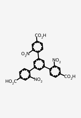 O=C(O)c1ccc(-c2cc(-c3ccc(C(=O)O)cc3[N+](=O)[O-])cc(-c3ccc(C(=O)O)cc3[N+](=O)[O-])c2)c([N+](=O)[O-])c1